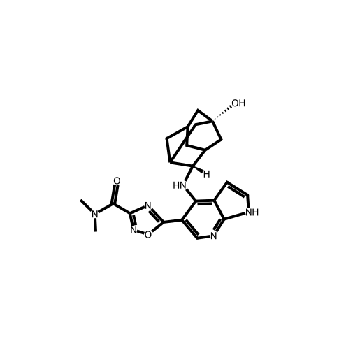 CN(C)C(=O)c1noc(-c2cnc3[nH]ccc3c2N[C@H]2C3CC4CC2C[C@@](O)(C4)C3)n1